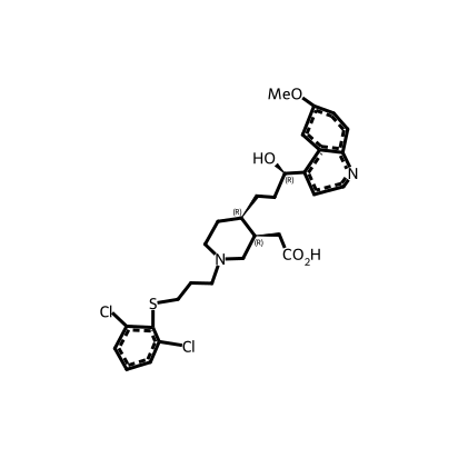 COc1ccc2nccc([C@H](O)CC[C@@H]3CCN(CCCSc4c(Cl)cccc4Cl)C[C@@H]3CC(=O)O)c2c1